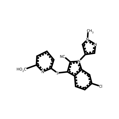 Cn1cc(-n2c(C#N)c(Sc3cccc(C(=O)O)n3)c3ccc(Cl)cc32)cn1